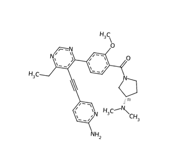 CCc1ncnc(-c2ccc(C(=O)N3CC[C@H](N(C)C)C3)c(OC)c2)c1C#Cc1ccc(N)nc1